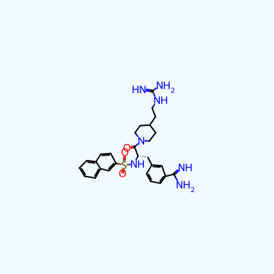 N=C(N)NCCC1CCN(C(=O)[C@H](Cc2cccc(C(=N)N)c2)NS(=O)(=O)c2ccc3ccccc3c2)CC1